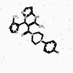 CC1=C(C(=O)N2CCN(c3ccc(F)cc3)CC2)C(c2sccc2C)n2nccc2N1